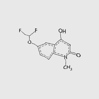 Cn1c(=O)cc(O)c2cc(OC(F)F)ccc21